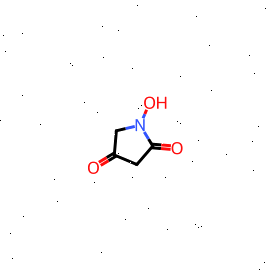 O=C1CC(=O)N(O)C1